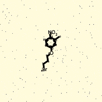 Cc1cc(OCCCBr)ccc1[N+](=O)[O-]